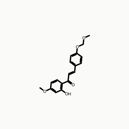 COCOc1ccc(/C=C/C(=O)c2ccc(OC)cc2O)cc1